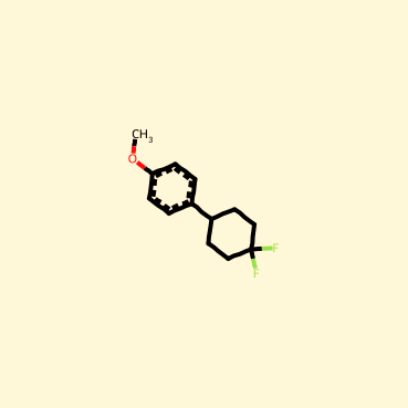 COc1ccc(C2CCC(F)(F)CC2)cc1